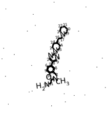 CN(Cc1cccc(-c2cnc(N3CCC(CCN4CCCCC4)CC3)nc2)c1)C(=O)CN